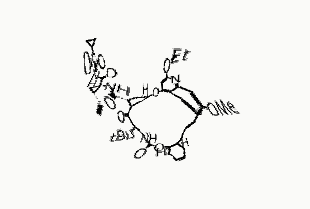 C=C[C@@H]1C[C@]1(NC(=O)[C@@H]1C[C@@H]2CC1C(=O)[C@H](C(C)(C)C)NC(=O)O[C@H]1CCCC[C@@H]1C/C=C/c1cc3c(cc(OCC)nc3cc1OC)O2)C(=O)NS(=O)(=O)C1CC1